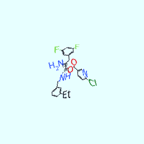 CCc1cccc(CNC[C@@H](OC(=O)c2ccc(Cl)nc2)[C@@H](N)Cc2cc(F)cc(F)c2)c1